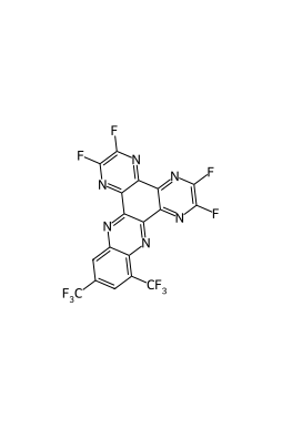 Fc1nc2c3nc(F)c(F)nc3c3nc4c(C(F)(F)F)cc(C(F)(F)F)cc4nc3c2nc1F